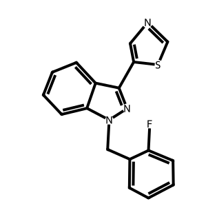 Fc1ccccc1Cn1nc(-c2cncs2)c2ccccc21